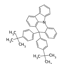 CC(C)(C)c1ccc(C2(c3ccc(C(C)(C)C)cc3)c3ccccc3-n3c4ccccc4c4cccc2c43)cc1